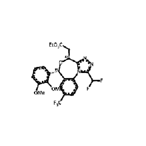 CCOC(=O)C[C@@H]1O[C@@H](c2cccc(OC)c2OC)c2cc(C(F)(F)F)ccc2-n2c(C(F)F)nnc21